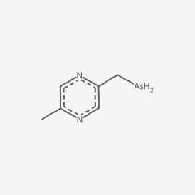 Cc1cnc(C[AsH2])cn1